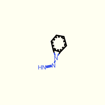 N=NN1c2ccccc21